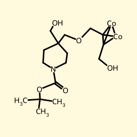 CC(C)(C)OC(=O)N1CCC(CO)(COC[C]23[Co]4[Co]2[C]43CO)CC1